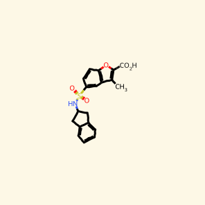 Cc1c(C(=O)O)oc2ccc(S(=O)(=O)NC3Cc4ccccc4C3)cc12